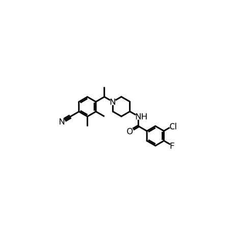 Cc1c(C#N)ccc(C(C)N2CCC(NC(=O)c3ccc(F)c(Cl)c3)CC2)c1C